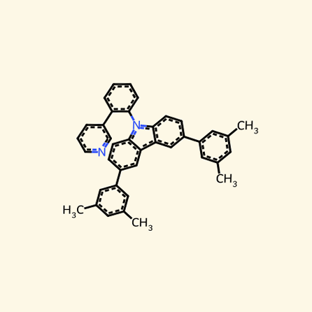 Cc1cc(C)cc(-c2ccc3c(c2)c2cc(-c4cc(C)cc(C)c4)ccc2n3-c2ccccc2-c2cccnc2)c1